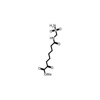 COC(=O)C(=O)CCCCCC(=O)NCS(N)(=O)=O